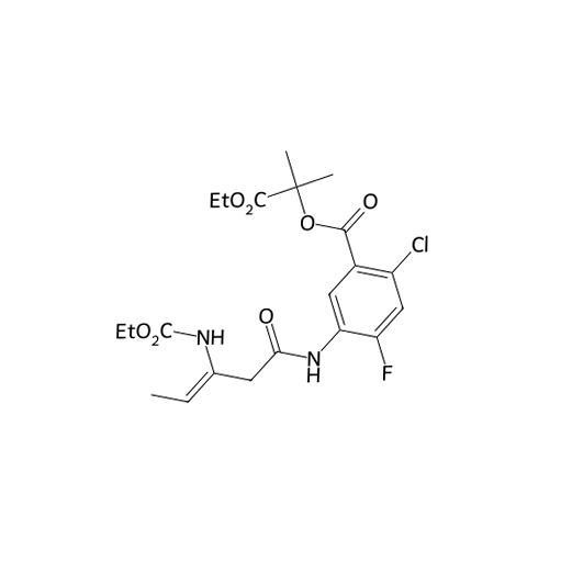 CC=C(CC(=O)Nc1cc(C(=O)OC(C)(C)C(=O)OCC)c(Cl)cc1F)NC(=O)OCC